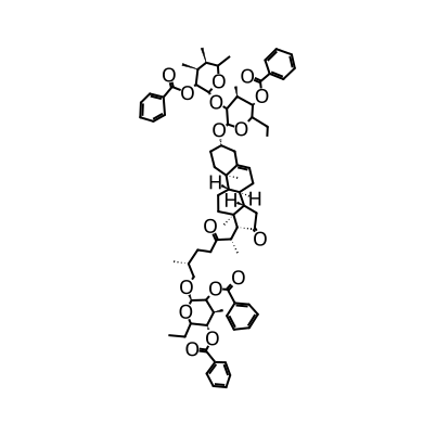 CCC1O[C@@H](OC[C@H](C)CCC(=O)[C@@H](C)[C@H]2C(=O)C[C@H]3[C@@H]4CC=C5C[C@@H](O[C@@H]6OC(CC)[C@@H](OC(=O)c7ccccc7)[C@H](C)C6O[C@@H]6OC(C)[C@H](C)[C@H](C)C6OC(=O)c6ccccc6)CC[C@]5(C)[C@H]4CC[C@]23C)C(OC(=O)c2ccccc2)[C@@H](C)[C@@H]1OC(=O)c1ccccc1